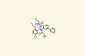 CCCNS(=O)(=O)c1ccc(-c2ccccc2)cc1N(Cc1cc(Cl)ccc1OCCC)C(=O)CBr